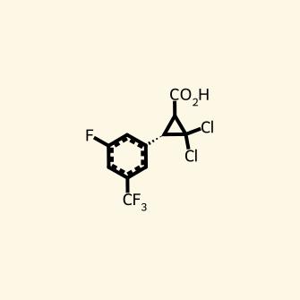 O=C(O)C1[C@@H](c2cc(F)cc(C(F)(F)F)c2)C1(Cl)Cl